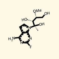 CO[C@H](CO)[C@@H](O)[C@@](C)(O)n1ccc2c(N)nc(F)nc21